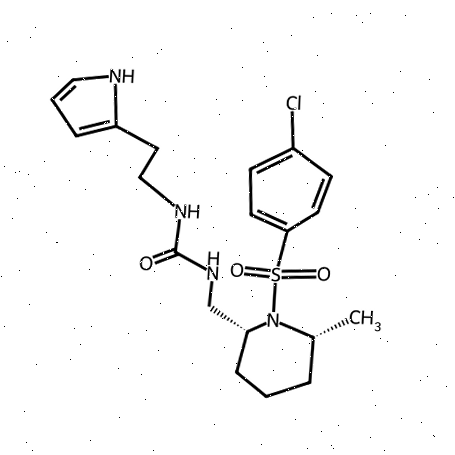 C[C@@H]1CCC[C@H](CNC(=O)NCCc2ccc[nH]2)N1S(=O)(=O)c1ccc(Cl)cc1